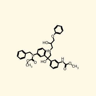 COC(=O)Nc1cccc(C(O)(CNCC(O)COc2ccccc2)c2cccc(N(Cc3ccccc3)C(=O)OC)c2)c1